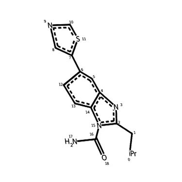 CC(C)Cc1nc2cc(-c3cncs3)ccc2n1C(N)=O